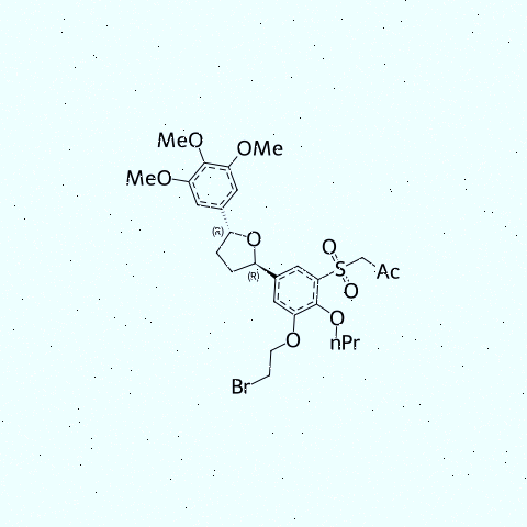 CCCOc1c(OCCBr)cc([C@H]2CC[C@H](c3cc(OC)c(OC)c(OC)c3)O2)cc1S(=O)(=O)CC(C)=O